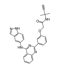 C#CC(C)(C)NC(=O)COc1cccc(-c2nc(Nc3ccc4[nH]ncc4c3)c3ccccc3n2)c1